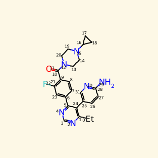 CCc1ncnc(-c2ccc(C(=O)N3CCN(C4CC4)CC3)c(F)c2)c1-c1ccc(N)nc1